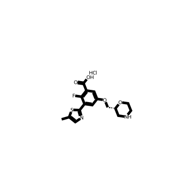 Cc1cnc(-c2cc(OC[C@H]3CNCCO3)cc(C(=O)O)c2F)s1.Cl